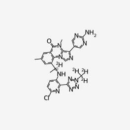 [2H]C([2H])([2H])n1nnc(-c2nc(Cl)ccc2N[C@@]([2H])(C)c2cc(C)cc3c(=O)n(C)c4c(-c5cnc(N)nc5)ncn4c23)n1